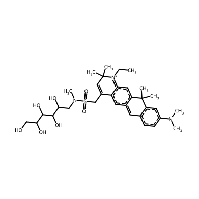 CC[N+]1=c2cc3c(cc2C(CS(=O)(=O)N(C)CC(O)C(O)C(O)C(O)CO)=CC1(C)C)=Cc1ccc(N(C)C)cc1C3(C)C